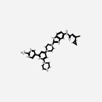 C/C(=C/C(=O)Nc1ccc2sc(N3CCN(c4cc(-c5cnc(N)nc5)nc(N5CCOCC5)c4)CC3)nc2c1)C1CC1